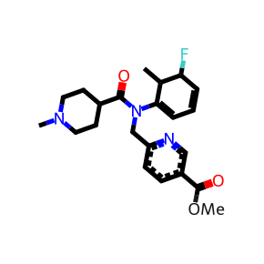 COC(=O)c1ccc(CN(C(=O)C2CCN(C)CC2)C2=CC=CC(F)C2C)nc1